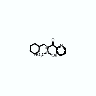 CC(C)(C)N(C(=O)O)[C@@H](CC1CCCCC1)C(=O)c1ccccn1